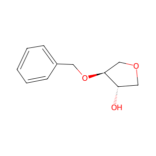 O[C@H]1COC[C@@H]1OCc1ccccc1